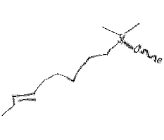 CC=CCCCC[Si](C)(C)OC